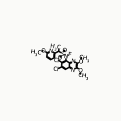 COc1cccc(C(C)S(=O)(=O)N(F)c2c(Cl)c(Cl)cc3nc(OC)c(OC)nc23)n1